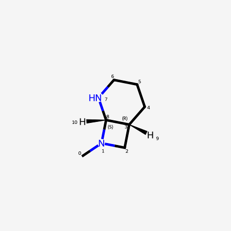 CN1C[C@H]2CCCN[C@H]21